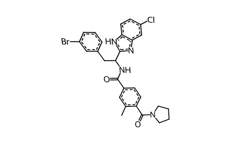 Cc1cc(C(=O)NC(Cc2cccc(Br)c2)c2nc3cc(Cl)ccc3[nH]2)ccc1C(=O)N1CCCC1